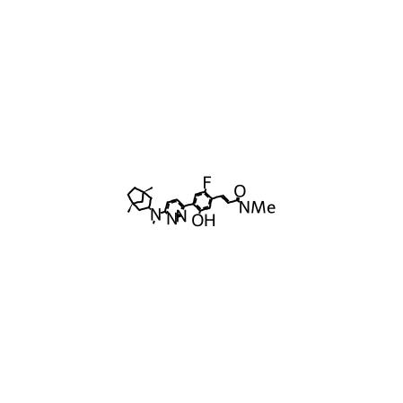 CNC(=O)/C=C/c1cc(O)c(-c2ccc(N(C)[C@H]3C[C@]4(C)CC[C@](C)(C3)C4)nn2)cc1F